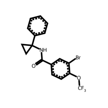 O=C(NC1(c2ccccc2)CC1)c1ccc(OC(F)(F)F)c(Br)c1